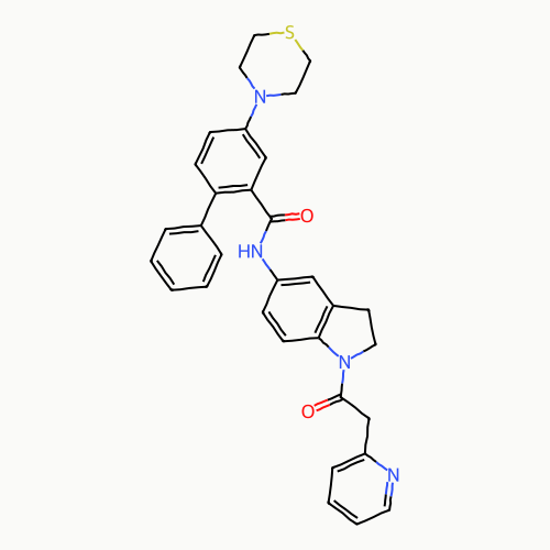 O=C(Nc1ccc2c(c1)CCN2C(=O)Cc1ccccn1)c1cc(N2CCSCC2)ccc1-c1ccccc1